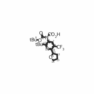 CC(C)(C)OC(=O)N(C(=O)O)c1cc(C(F)(F)F)c(C2CCCO2)nc1C(C)(C)C